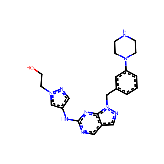 OCCn1cc(Nc2ncc3cnn(Cc4cccc(N5CCNCC5)c4)c3n2)cn1